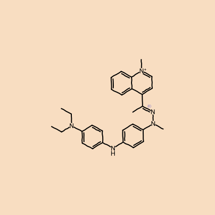 CCN(CC)c1ccc(Nc2ccc(N(C)/N=C(\C)c3cc[n+](C)c4ccccc34)cc2)cc1